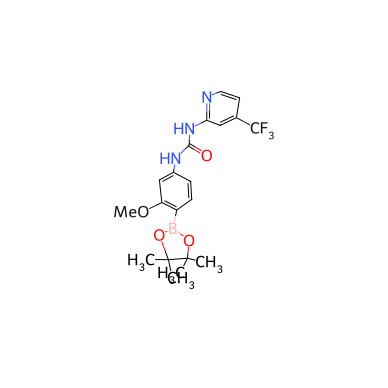 COc1cc(NC(=O)Nc2cc(C(F)(F)F)ccn2)ccc1B1OC(C)(C)C(C)(C)O1